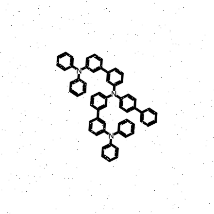 c1ccc(-c2ccc(N(c3cccc(-c4cccc(N(c5ccccc5)c5ccccc5)c4)c3)c3cccc(-c4cccc(N(c5ccccc5)c5ccccc5)c4)c3)cc2)cc1